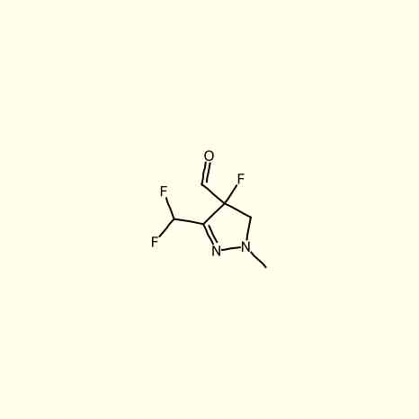 CN1CC(F)(C=O)C(C(F)F)=N1